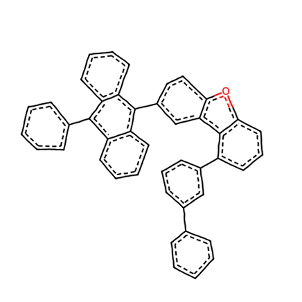 c1ccc(-c2cccc(-c3cccc4oc5ccc(-c6c7ccccc7c(-c7ccccc7)c7ccccc67)cc5c34)c2)cc1